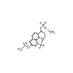 CC[C@@H]1COc2c(ccc3nc(OC(C)C)cc(C(F)(F)F)c23)N1CC(F)(F)Cl